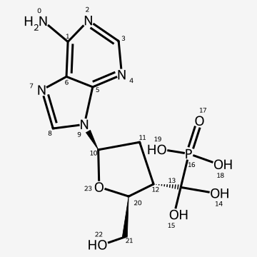 Nc1ncnc2c1ncn2[C@H]1C[C@H](C(O)(O)P(=O)(O)O)[C@@H](CO)O1